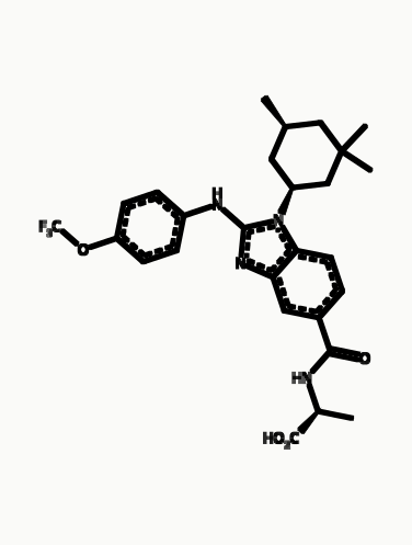 C[C@@H]1C[C@H](n2c(Nc3ccc(OC(F)(F)F)cc3)nc3cc(C(=O)N[C@@H](C)C(=O)O)ccc32)CC(C)(C)C1